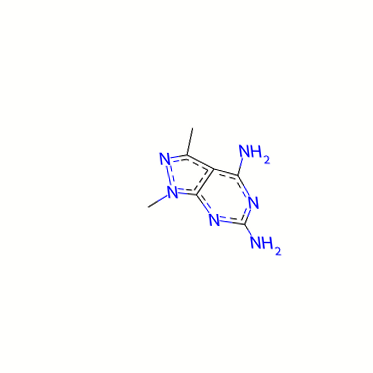 Cc1nn(C)c2nc(N)nc(N)c12